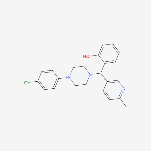 Cc1ccc(C(c2ccccc2O)N2CCN(c3ccc(Cl)cc3)CC2)cn1